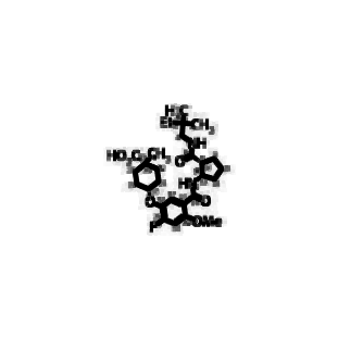 CCC(C)(C)CNC(=O)[C@H]1CCC[C@H]1NC(=O)c1cc(O[C@H]2CC[C@@](C)(C(=O)O)CC2)c(F)cc1OC